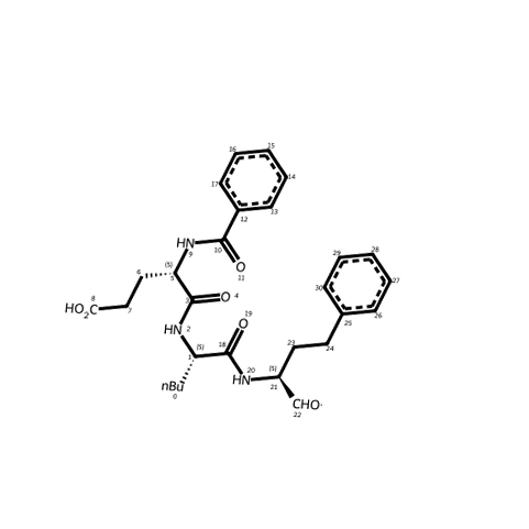 CCCC[C@H](NC(=O)[C@H](CCC(=O)O)NC(=O)c1ccccc1)C(=O)N[C@H]([C]=O)CCc1ccccc1